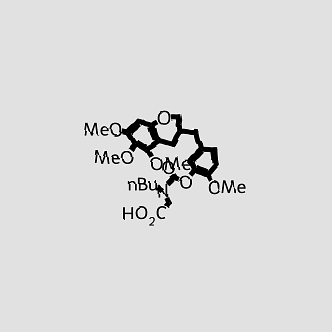 CCCCN(CC(=O)O)C(=O)Oc1cc(CC2COc3cc(OC)c(OC)c(OC)c3C2)ccc1OC